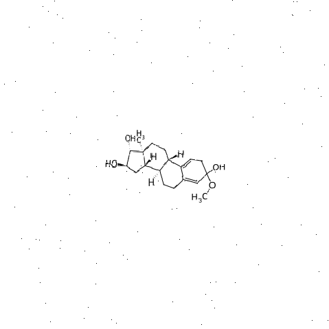 COC1(O)C=C2CC[C@@H]3[C@H](CC[C@]4(C)[C@@H](O)[C@H](O)C[C@@H]34)C2=CC1